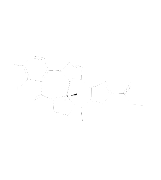 CC(C)(C)OC(=O)C1=NC(c2ncn3c2[C@@H]2CCCN2C(=O)c2c-3ccc(F)c2F)N(CN)O1